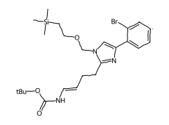 CC(C)(C)OC(=O)NC=CCCc1nc(-c2cc[c]cc2Br)cn1COCC[Si](C)(C)C